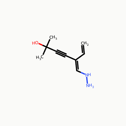 C=C/C(C#CC(C)(C)O)=C\NN